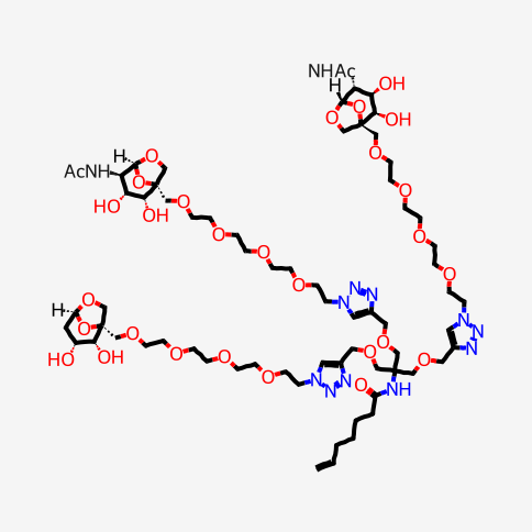 C=CCCCCC(=O)NC(COCc1cn(CCOCCOCCOCCOC[C@@]23CO[C@@H](O2)[C@H](NC(C)=O)[C@@H](O)[C@H]3O)nn1)(COCc1cn(CCOCCOCCOCCOC[C@@]23CO[C@@H](O2)[C@H](NC(C)=O)[C@@H](O)[C@H]3O)nn1)COCc1cn(CCOCCOCCOCCOC[C@]23CO[C@H](C[C@@H](O)[C@H]2O)O3)nn1